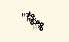 CC(C)(C)N(C(=O)O)c1cccc(C(=O)Nc2cccc(Nc3cc(-c4cccc5c4oc4ccccc45)ncn3)c2)c1